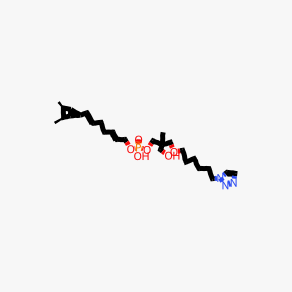 C[C@@H]1C2C(/C=C/CC/C=C/COP(=O)(O)OCC(C)(CO)COCCCCCCn3ccnn3)C2[C@@H]1C